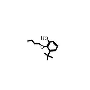 CCCCOc1c(O)cccc1C(C)(C)C